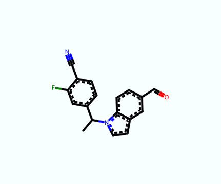 CC(c1ccc(C#N)c(F)c1)n1ccc2cc(C=O)ccc21